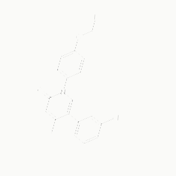 Cc1cc(=O)n(-c2ccc(OCF)cc2)cc1-c1cccc(Cl)c1